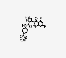 CC(C)(C)OC(=O)N1CCC(NC(=O)c2n[nH]cc2NC(=O)c2c(F)cc(F)cc2F)CC1